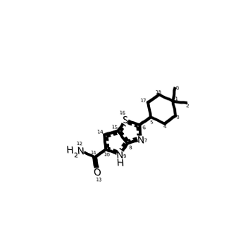 CC1(C)CCC(c2nc3[nH]c(C(N)=O)cc3s2)CC1